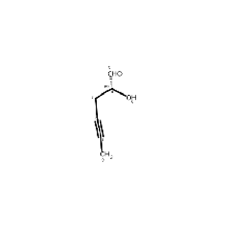 CC#CC[C@@H](O)C=O